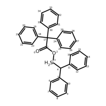 O=C(O[SiH2]C(c1ccccc1)c1ccccc1)C(c1ccccc1)(c1ccccc1)c1ccccc1